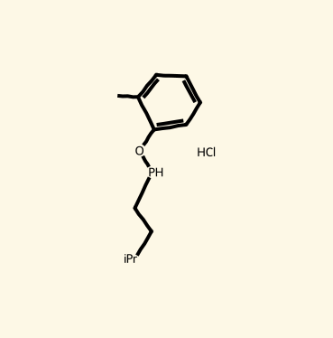 Cc1ccccc1OPCCC(C)C.Cl